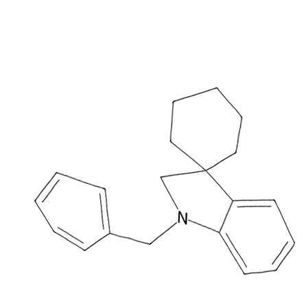 c1ccc(CN2CC3(CCCCC3)c3ccccc32)cc1